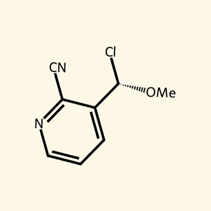 CO[C@@H](Cl)c1cccnc1C#N